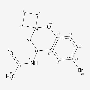 CC(=O)NC1CC2(CCC2)Oc2ccc(Br)cc21